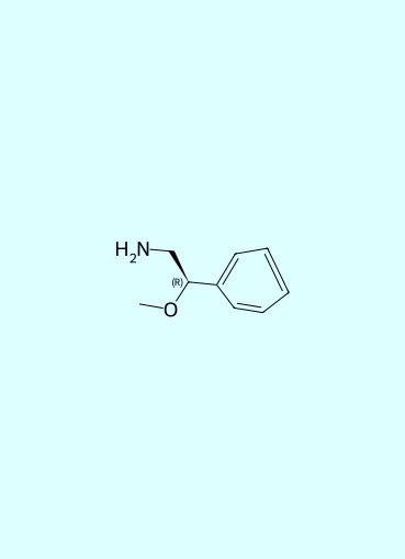 CO[C@@H](CN)c1ccccc1